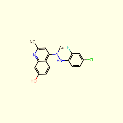 CC(=O)N(Nc1ccc(Cl)cc1F)c1cc(C#N)nc2cc(O)ccc12